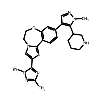 Cc1nc(-c2cn3c(n2)-c2ccc(-c4cnn(C)c4C4CCCNC4)cc2OCC3)n(C(C)C)n1